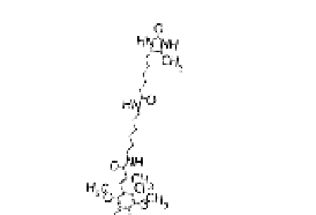 COc1c(Cl)c(/C=C(\C)C(=O)NCCCCCCNC(=O)CCCCC[C@H]2NC(=O)NC2C)c(OC)c2ccccc12